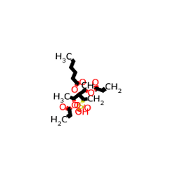 [CH2]C(C(OC(=O)CCCCC)(C(C)OC(=O)C=C)C(C)OC(=O)C=C)S(=O)(=O)O